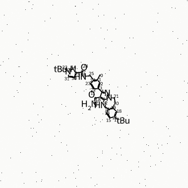 Cc1cc(-c2nn3c(c2C(N)=O)Nc2ccc(C(C)(C)C)cc2CC3)ccc1CNC(=O)c1ccn(C(C)(C)C)n1